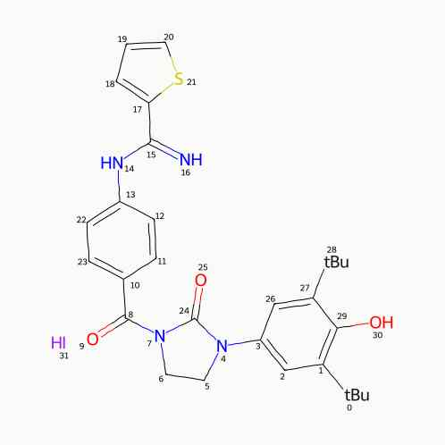 CC(C)(C)c1cc(N2CCN(C(=O)c3ccc(NC(=N)c4cccs4)cc3)C2=O)cc(C(C)(C)C)c1O.I